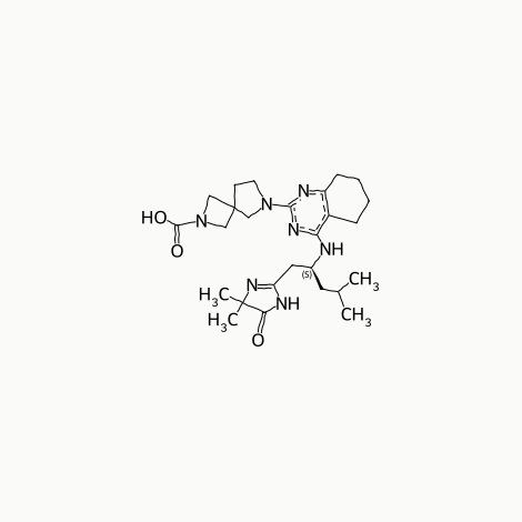 CC(C)C[C@@H](CC1=NC(C)(C)C(=O)N1)Nc1nc(N2CCC3(CN(C(=O)O)C3)C2)nc2c1CCCC2